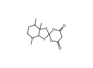 CN1CCN(C)C2(C)SC3(OC(=O)CC(=O)O3)SC12